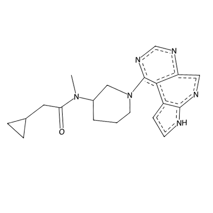 CN(C(=O)CC1CC1)C1CCCN(c2ncnc3cnc4[nH]ccc4c23)C1